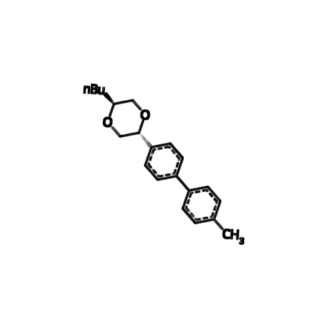 CCCC[C@H]1CO[C@H](c2ccc(-c3ccc(C)cc3)cc2)CO1